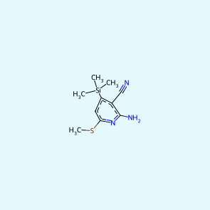 CSc1cc([Si](C)(C)C)c(C#N)c(N)n1